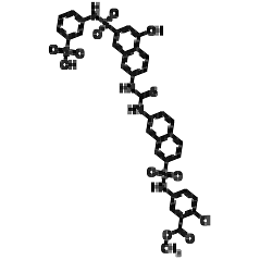 COC(=O)c1cc(NS(=O)(=O)c2ccc3ccc(NC(=S)Nc4ccc5c(O)cc(S(=O)(=O)Nc6cccc(S(=O)(=O)O)c6)cc5c4)cc3c2)ccc1Cl